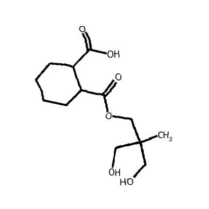 CC(CO)(CO)COC(=O)C1CCCCC1C(=O)O